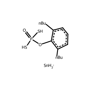 CCCCc1cccc(CCCC)c1OP(=O)(S)S.[SnH2]